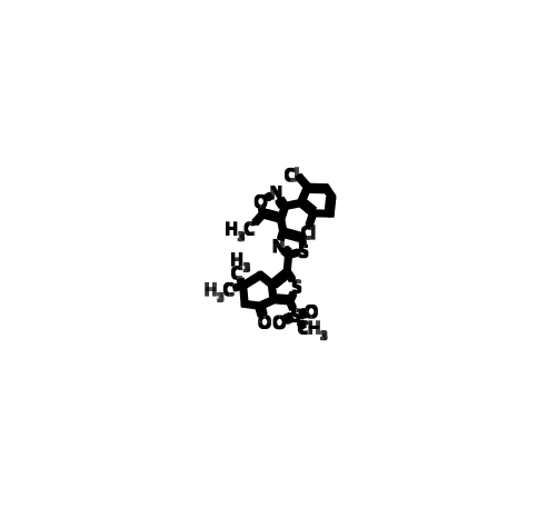 Cc1onc(-c2c(Cl)cccc2Cl)c1-c1csc(-c2sc(S(C)(=O)=O)c3c2CC(C)(C)CC3=O)n1